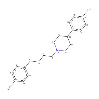 Fc1ccc(CCCCN2CCC(c3ccc(F)cc3)CC2)cc1